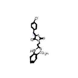 O=C(CCN1C(=O)/C(=C/c2ccc(Cl)cc2)SC1=S)Nc1ccccc1C(=O)O